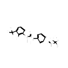 O=C(Nc1ccc(OS(=O)(=O)C(F)(F)F)cc1)Nc1cccc(C(F)(F)F)c1Cl